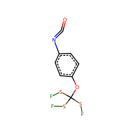 O=C=Nc1ccc(OC(SF)(SF)SF)cc1